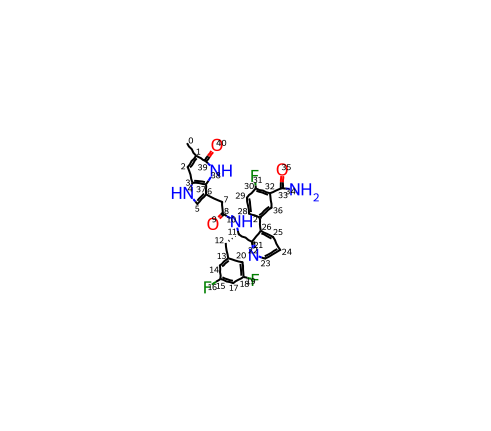 Cc1cc2[nH]cc(CC(=O)N[C@@H](Cc3cc(F)cc(F)c3)c3ncccc3-c3ccc(F)c(C(N)=O)c3)c2[nH]c1=O